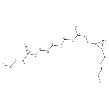 CCCCCC1OC1COC(C)CCCCCCCC(=O)OCCC